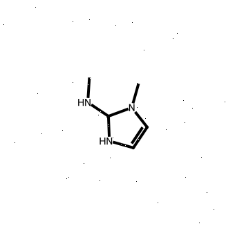 CNC1NC=CN1C